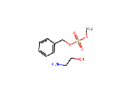 NCCO.O=S(=O)(O)OS(=O)(=O)OCc1ccccc1